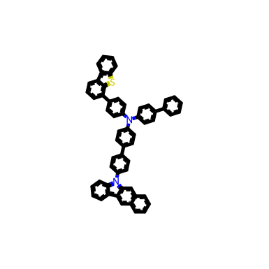 c1ccc(-c2ccc(N(c3ccc(-c4ccc(-n5c6ccccc6c6cc7ccccc7cc65)cc4)cc3)c3ccc(-c4cccc5c4sc4ccccc45)cc3)cc2)cc1